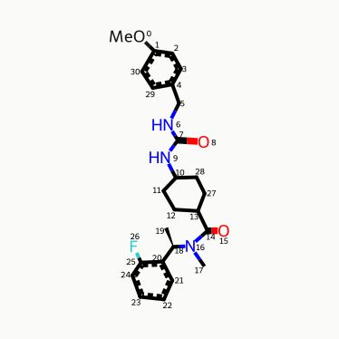 COc1ccc(CNC(=O)NC2CCC(C(=O)N(C)[C@H](C)c3ccccc3F)CC2)cc1